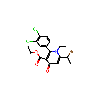 CCOC(=O)c1c(-c2ccc(Cl)c(Cl)c2)n(CC)c(C(C)Br)cc1=O